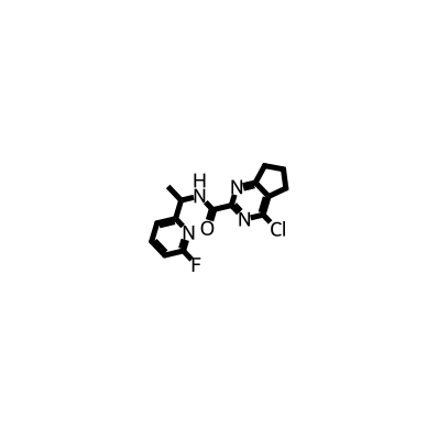 CC(NC(=O)c1nc(Cl)c2c(n1)CCC2)c1cccc(F)n1